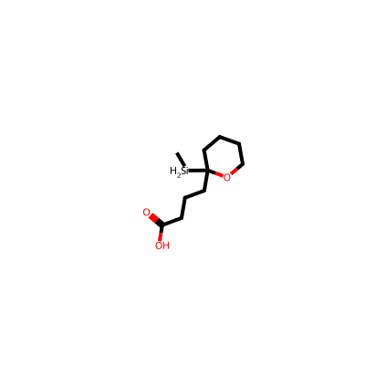 C[SiH2]C1(CCCC(=O)O)CCCCO1